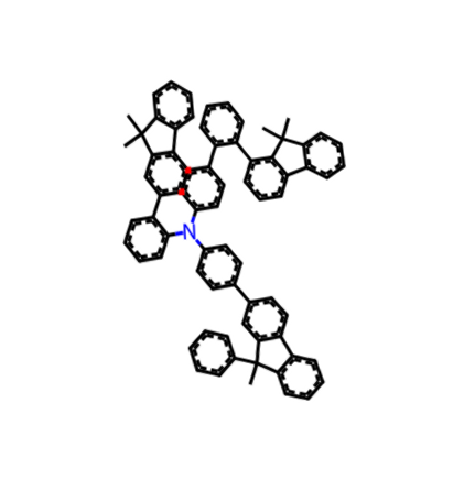 CC1(C)c2ccccc2-c2ccc(-c3ccccc3N(c3ccc(-c4ccc5c(c4)C(C)(c4ccccc4)c4ccccc4-5)cc3)c3ccc(-c4ccccc4-c4cccc5c4C(C)(C)c4ccccc4-5)cc3)cc21